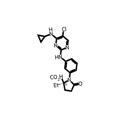 CC[C@@]1(C(=O)O)CCC(=O)N1c1cccc(Nc2ncc(Cl)c(NC3CC3)n2)c1